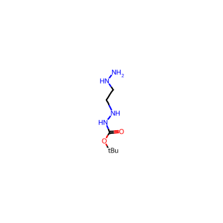 CC(C)(C)OC(=O)NNCCNN